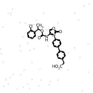 CC(OC(=O)Nc1coc(=O)n1-c1ccc(-c2ccc(CC(=O)O)cc2)cc1)c1ccccc1Cl